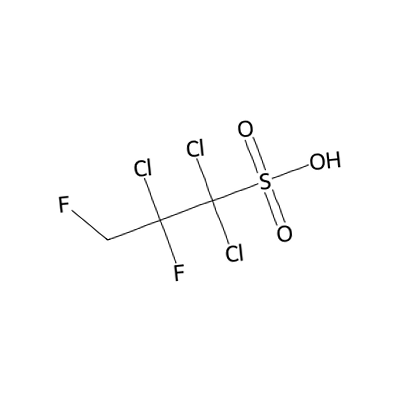 O=S(=O)(O)C(Cl)(Cl)C(F)(Cl)CF